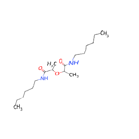 CCCCCCNC(=O)C(C)OC(C)C(=O)NCCCCCC